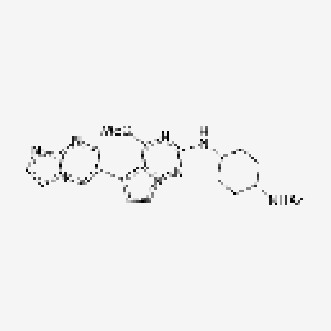 COc1nc(N[C@H]2CC[C@@H](NC(C)=O)CC2)nn2ccc(-c3cnc4nccn4c3)c12